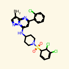 Bc1cnn2c(NC3CCN(S(=O)(=O)C4C=CC=C(Cl)C4Cl)CC3)cc(-c3ccccc3Cl)nc12